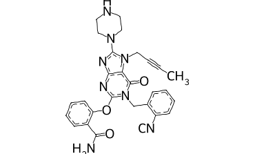 [C-]#[N+]c1ccccc1Cn1c(Oc2ccccc2C(N)=O)nc2nc(N3CCNCC3)n(CC#CC)c2c1=O